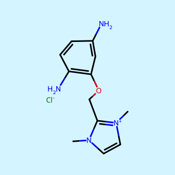 Cn1cc[n+](C)c1COc1cc(N)ccc1N.[Cl-]